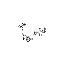 O=C(O)CCC/C=C\C[C@@H]1[C@H](CCCCNC(=O)C(=O)NC2CC2)[C@@H]2CC[C@H]1O2